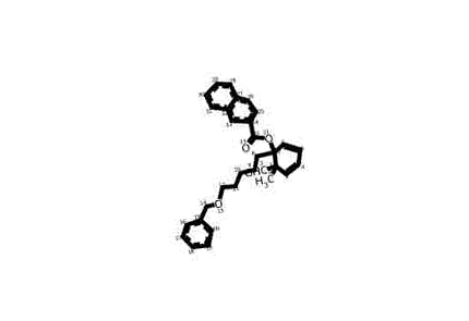 CC1(C=O)C=CC=CC1(CCCCCOCc1ccccc1)OC(=O)c1ccc2ccccc2c1